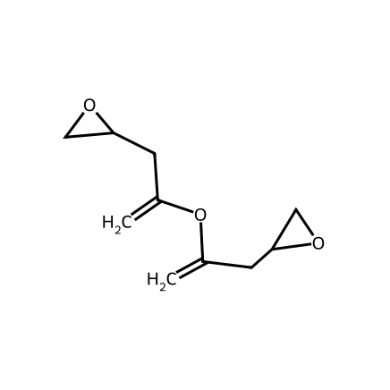 C=C(CC1CO1)OC(=C)CC1CO1